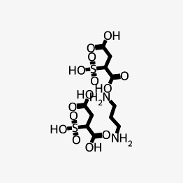 NCCCN.O=C(O)CC(C(=O)O)S(=O)(=O)O.O=C(O)CC(C(=O)O)S(=O)(=O)O